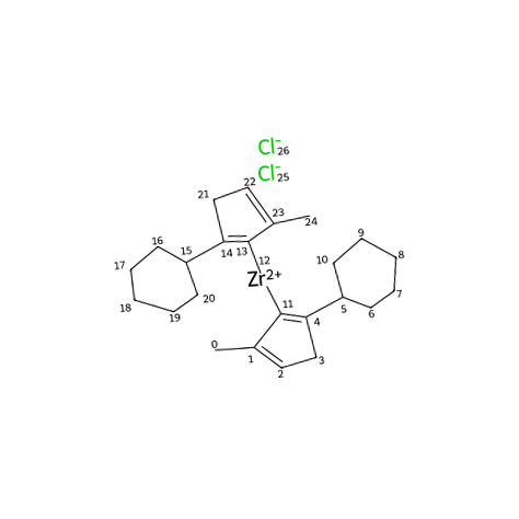 CC1=CCC(C2CCCCC2)=[C]1[Zr+2][C]1=C(C2CCCCC2)CC=C1C.[Cl-].[Cl-]